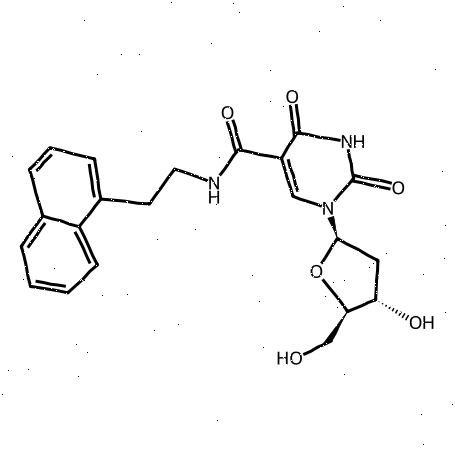 O=C(NCCc1cccc2ccccc12)c1cn([C@H]2C[C@H](O)[C@@H](CO)O2)c(=O)[nH]c1=O